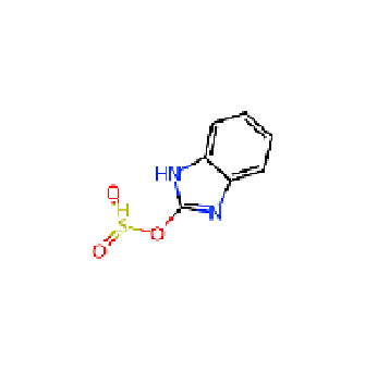 O=[SH](=O)Oc1nc2ccccc2[nH]1